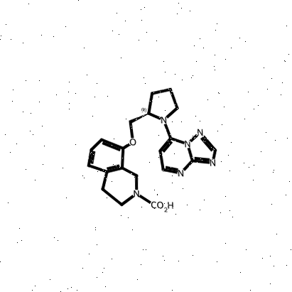 O=C(O)N1CCc2cccc(OC[C@H]3CCCN3c3ccnc4ncnn34)c2C1